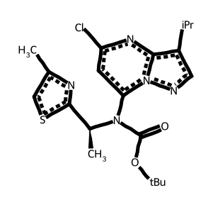 Cc1csc([C@H](C)N(C(=O)OC(C)(C)C)c2cc(Cl)nc3c(C(C)C)cnn23)n1